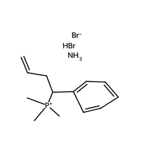 Br.C=CCC(c1ccccc1)[P+](C)(C)C.N.[Br-]